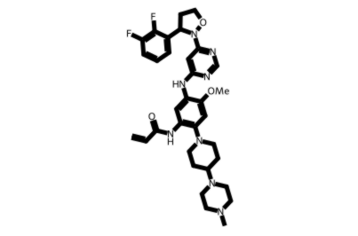 C=CC(=O)Nc1cc(Nc2cc(N3OCCC3c3cccc(F)c3F)ncn2)c(OC)cc1N1CCC(N2CCN(C)CC2)CC1